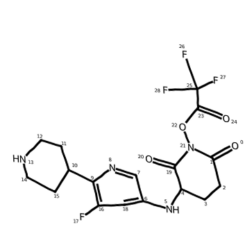 O=C1CCC(Nc2cnc(C3CCNCC3)c(F)c2)C(=O)N1OC(=O)C(F)(F)F